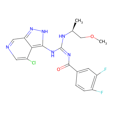 COC[C@H](C)N/C(=N/C(=O)c1ccc(F)c(F)c1)Nc1[nH]nc2cncc(Cl)c12